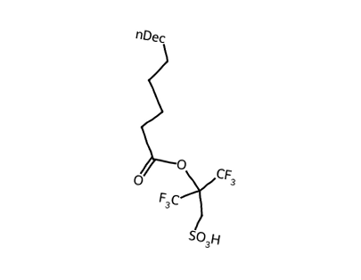 CCCCCCCCCCCCCCC(=O)OC(CS(=O)(=O)O)(C(F)(F)F)C(F)(F)F